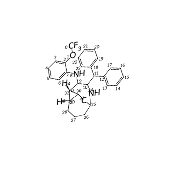 FC(F)(F)Oc1ccccc1NC1C(C(c2ccccc2)c2ccccc2)NC2CCC[C@H]3C(C2)[C@@H]13